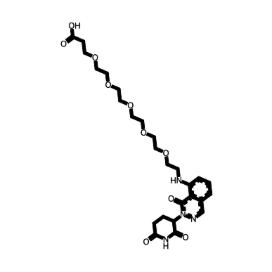 O=C(O)CCOCCOCCOCCOCCOCCNc1cccc2cnn(C3CCC(=O)NC3=O)c(=O)c12